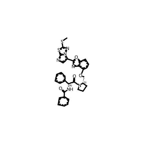 CSc1nn2c(-c3nc4c(OC[C@@H]5CCCN5C(=O)[C@H](NC(=O)c5ccccc5)c5ccccc5)cccc4o3)cnc2s1